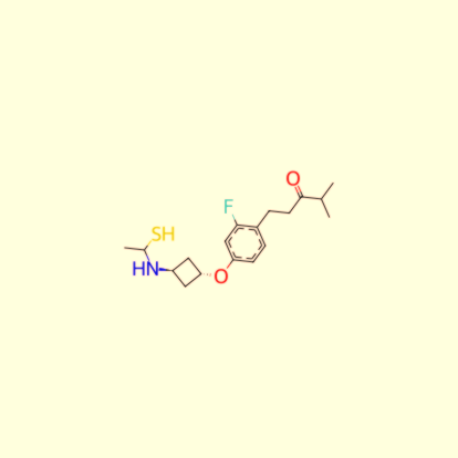 CC(S)N[C@H]1C[C@H](Oc2ccc(CCC(=O)C(C)C)c(F)c2)C1